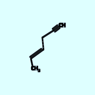 C#CCC=CC